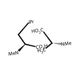 CN[C@@H](CC(C)C)C(=O)O.CN[C@H](C)C(=O)O